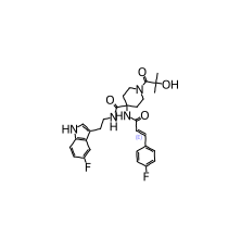 CC(C)(O)C(=O)N1CCC(NC(=O)/C=C/c2ccc(F)cc2)(C(=O)NCCc2c[nH]c3ccc(F)cc23)CC1